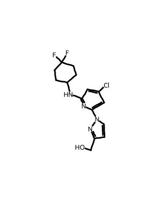 OCc1ccn(-c2cc(Cl)cc(NC3CCC(F)(F)CC3)n2)n1